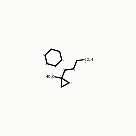 C1CCCCC1.O=C(O)CCCC1(C(=O)O)CC1